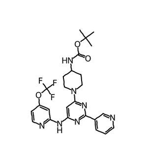 CC(C)(C)OC(=O)NC1CCN(c2cc(Nc3cc(OC(F)(F)F)ccn3)nc(-c3cccnc3)n2)CC1